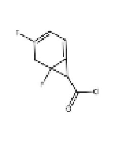 O=C(Cl)C1C2=CC=C(F)CC21F